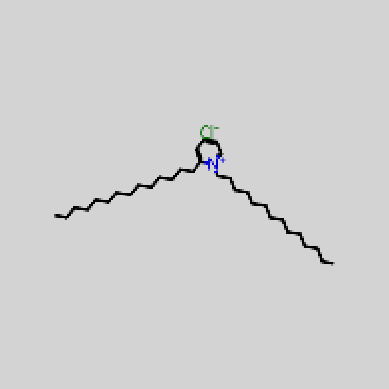 CCCCCCCCCCCCCCc1cccc[n+]1CCCCCCCCCCCCCC.[Cl-]